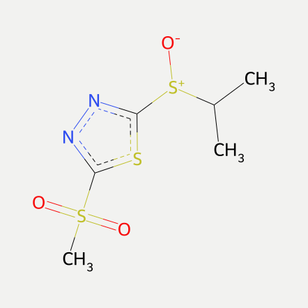 CC(C)[S+]([O-])c1nnc(S(C)(=O)=O)s1